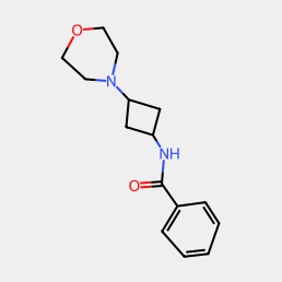 O=C(NC1CC(N2CCOCC2)C1)c1ccccc1